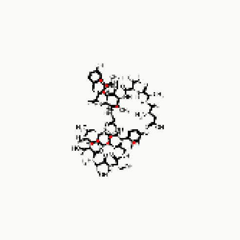 CC(C)C[C@H](NC(=O)[C@H](Cc1ccc(O)cc1)NC(=O)CNC(=O)[C@H](CC(N)=O)NC(=O)[C@H](Cc1ccc(O)cc1)NC(=O)[C@H](C)NC(=O)[C@@H](NC(=O)[C@@H](NC(=O)[C@H](C)NC(=O)[C@@H](N)CC(=O)O)C(C)C)[C@@H](C)O)C(=O)N[C@H](C(=O)N[C@@H](CO)C(=O)N[C@@H](CO)C(=O)N[C@@H](CO)C(=O)N[C@@H](CCCCN)C(=O)O)[C@@H](C)O